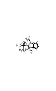 CB1C2C=CC=C2[B-](C)([Zr])N1C(C)(C)C